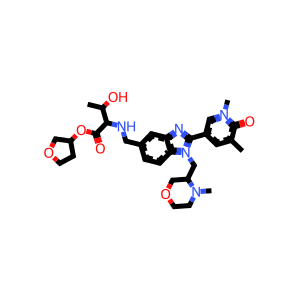 Cc1cc(-c2nc3cc(CNC(C(=O)OC4CCOC4)C(C)O)ccc3n2CC2COCCN2C)cn(C)c1=O